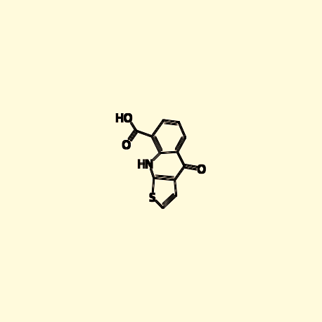 O=C(O)c1cccc2c(=O)c3ccsc3[nH]c12